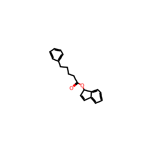 O=C(CCCCc1ccccc1)OC1C=Cc2ccccc21